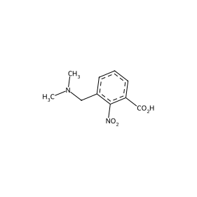 CN(C)Cc1cccc(C(=O)O)c1[N+](=O)[O-]